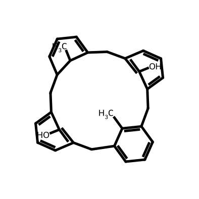 Cc1c2cccc1Cc1cccc(c1O)CC1C=CC=C(Cc3cccc(c3O)C2)C1C